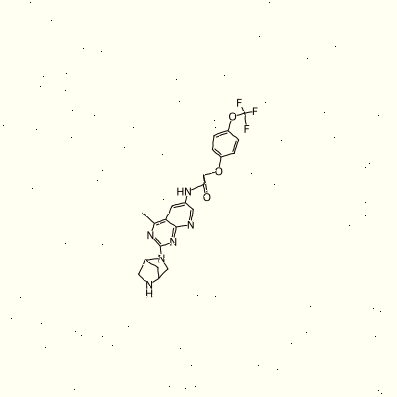 Cc1nc(N2CC3CC2CN3)nc2ncc(NC(=O)COc3ccc(OC(F)(F)F)cc3)cc12